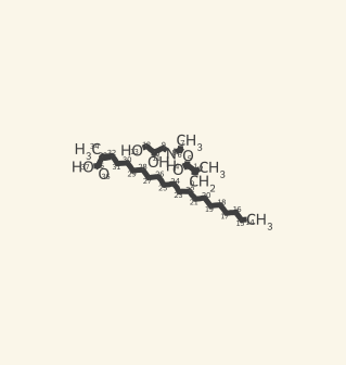 C=C(C)C(=O)OC(C)NCC(O)CO.CCCCCCCCCCCCCCCCCCC=C(C)C(=O)O